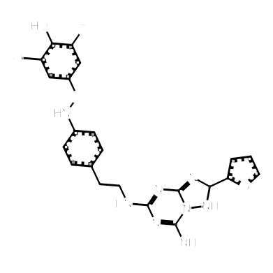 NC1=NC(NCCc2ccc(NSc3cc(F)c(O)c(Cl)c3)cc2)=NC2=NC(c3ccco3)NN12